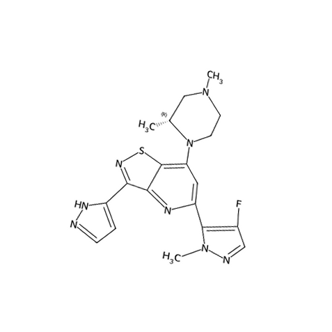 C[C@@H]1CN(C)CCN1c1cc(-c2c(F)cnn2C)nc2c(-c3ccn[nH]3)nsc12